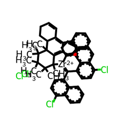 CC12C(=C3Cc4ccccc4C3=C3C=CCCC31)[C](C)([Zr+2]([C]1=CC=CC1)=[C](c1ccc(Cl)c3ccccc13)c1ccc(Cl)c3ccccc13)C(C)(C)C(C)(C)C2(C)C.[Cl-].[Cl-]